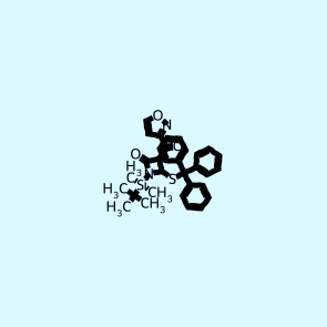 CC(C)(C)[Si](C)(C)N1C(=O)C(C(=O)c2ccon2)C1SC(c1ccccc1)(c1ccccc1)c1ccccc1